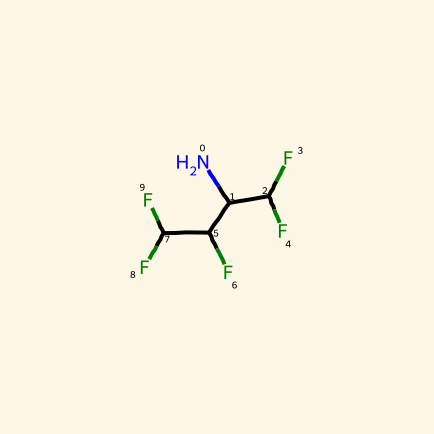 NC(C(F)F)C(F)C(F)F